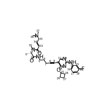 C[C@@H](C(=O)NCCCC#Cc1cnc(Nc2cccc(F)c2)nc1OC1CCC1)N(C)C(=O)/C=C/CN(C)C